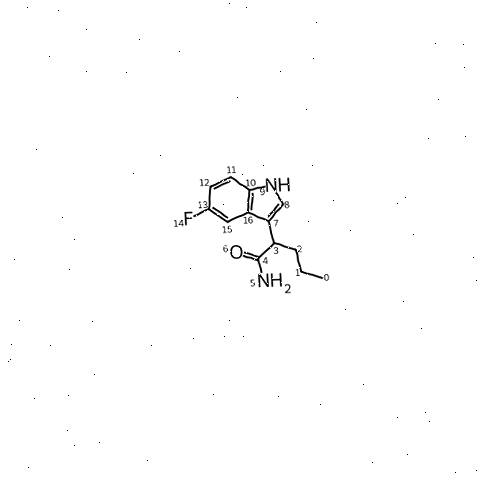 CCCC(C(N)=O)c1c[nH]c2ccc(F)cc12